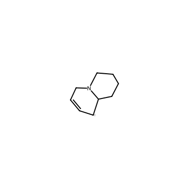 [C]1C=CCN2CCCCC12